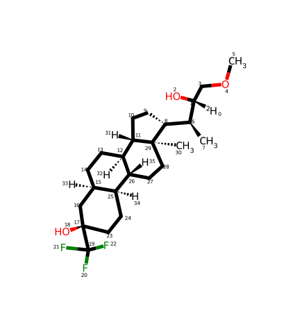 [2H][C@@](O)(COC)[C@@H](C)[C@H]1CC[C@H]2[C@@H]3CC[C@@H]4C[C@@](O)(C(F)(F)F)CC[C@@H]4[C@H]3CC[C@]12C